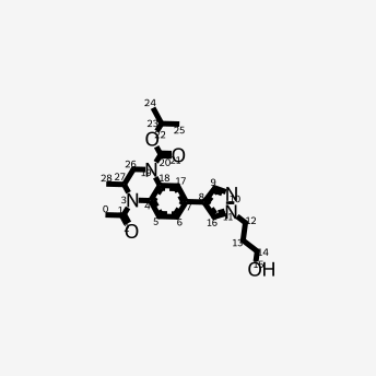 CC(=O)N1c2ccc(-c3cnn(CCCO)c3)cc2N(C(=O)OC(C)C)CC1C